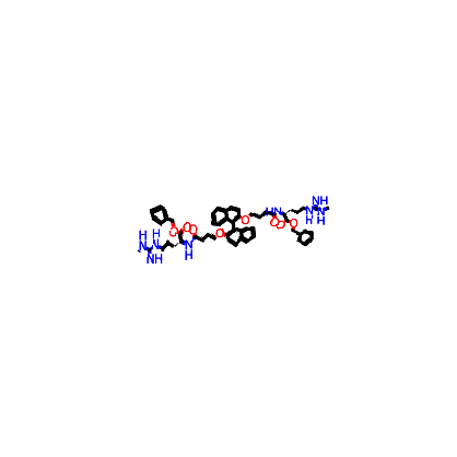 CNC(=N)NCCC[C@@H](NC(=O)CCCOc1ccc2ccccc2c1-c1c(OCCCC(=O)N[C@H](CCCNC(=N)NC)C(=O)OCc2ccccc2)ccc2ccccc12)C(=O)OCc1ccccc1